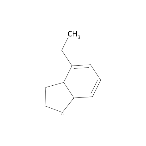 CCC1=CC=CC2[C]CCC12